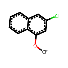 FC(F)(F)Oc1cc(Cl)[c]c2ccccc12